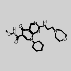 CONC(=O)c1cn(C2CCCCC2)c2nc(NCCN3CCOCC3)ncc2c1=O